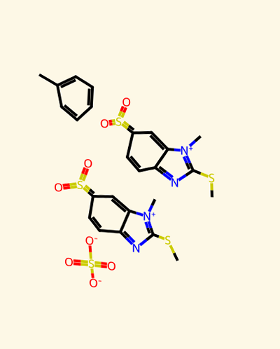 CSC1=[N+](C)C2=CC(=S(=O)=O)C=CC2=N1.CSC1=[N+](C)C2=CC(=S(=O)=O)C=CC2=N1.Cc1ccccc1.O=S(=O)([O-])[O-]